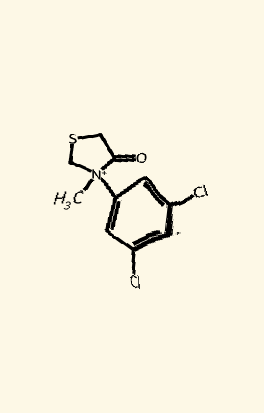 C[N+]1(c2cc(Cl)[c]c(Cl)c2)CSCC1=O